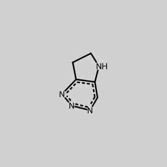 c1nnnc2c1NCC2